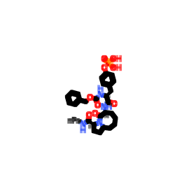 CCCNC(=O)[C@@H]1CCC2CCCC[C@H](NC(=O)[C@H](Cc3ccc(OP(=O)(O)O)cc3)NC(=O)OCc3ccccc3)C(=O)N21